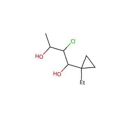 CCC1(C(O)C(Cl)C(C)O)CC1